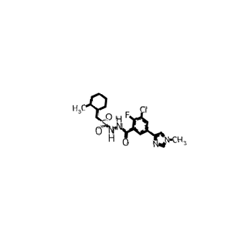 CC1CCCCC1CS(=O)(=O)NNC(=O)c1cc(-c2cn(C)cn2)cc(Cl)c1F